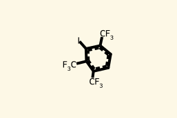 FC(F)(F)c1ccc(C(F)(F)F)c(C(F)(F)F)c1I